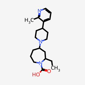 CCC1CC(N2CCC(c3cccnc3C)CC2)CCCN1C(=O)O